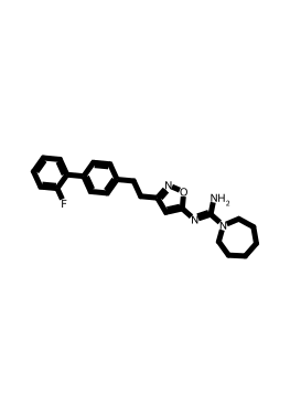 NC(=Nc1cc(CCc2ccc(-c3ccccc3F)cc2)no1)N1CCCCCC1